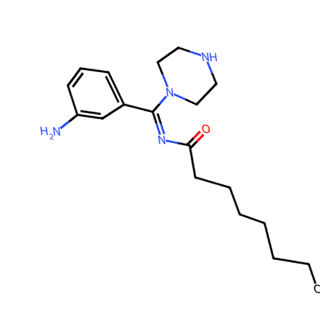 CCCCCCCC(=O)/N=C(/c1cccc(N)c1)N1CCNCC1